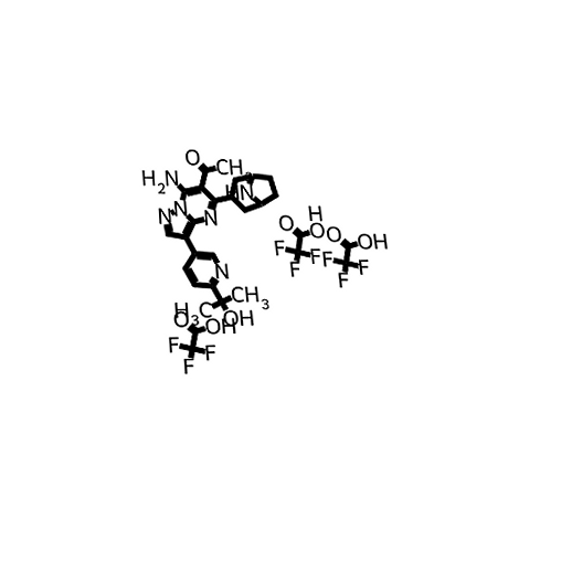 CC(=O)c1c(C2CC3CCC(C2)N3)nc2c(-c3ccc(C(C)(C)O)nc3)cnn2c1N.O=C(O)C(F)(F)F.O=C(O)C(F)(F)F.O=C(O)C(F)(F)F